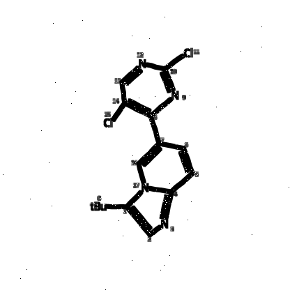 CC(C)(C)c1cnc2ccc(-c3nc(Cl)ncc3Cl)cn12